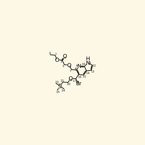 CCOC(=O)COCc1nc2[nH]ccc2cc1C(Br)OCC[Si](C)(C)C